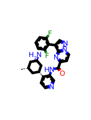 C[C@@H]1C[C@@H](N)C[C@H](c2ccncc2NC(=O)c2ccn3ncc(-c4c(F)cccc4F)c3n2)C1